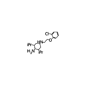 CC(C)C1CC(NCCOc2ccccc2Cl)CC(C(C)C)C1N